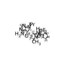 Cc1cc(C(=O)c2cn(C(C)C)c3ncnc(N)c23)cc(NS(=O)(=O)c2ccccc2F)n1